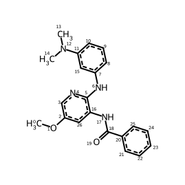 COc1cnc(Nc2cccc(N(C)C)c2)c(NC(=O)c2ccccc2)c1